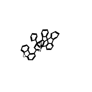 c1ccc(-c2cc(-c3cccc4oc5ccccc5c34)nc(-c3cccc4c3C3(c5ccccc5-c5ccccc53)c3ccccc3-4)n2)cc1